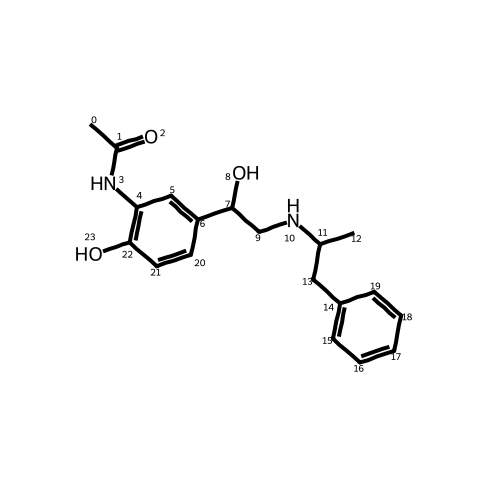 CC(=O)Nc1cc(C(O)CNC(C)Cc2ccccc2)ccc1O